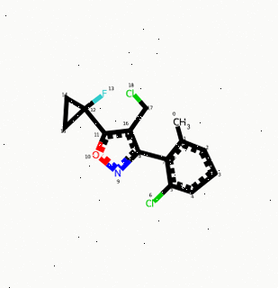 Cc1cccc(Cl)c1-c1noc(C2(F)CC2)c1CCl